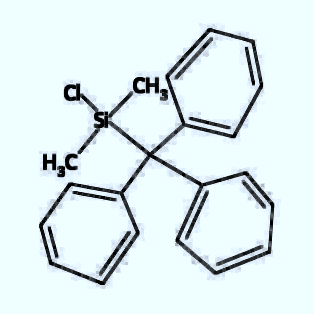 C[Si](C)(Cl)C(c1ccccc1)(c1ccccc1)c1ccccc1